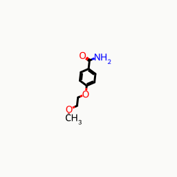 COCCOc1ccc(C(N)=O)cc1